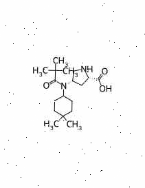 CC1(C)CCC(N(C(=O)C(C)(C)C)[C@@H]2CN[C@H](C(=O)O)C2)CC1